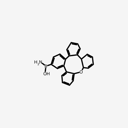 NB(O)c1ccc2c(c1)-c1ccccc1OC1C=CC=CC1c1ccccc1-2